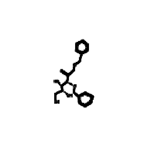 O=C(COCc1ccccc1)[C@H](OCc1ccccc1)[C@@H](O)[C@H](O)CO